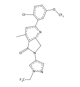 Cc1cc(-c2cc(OC(F)(F)F)ccc2Cl)nc2c1C(=O)N(c1cnn(CC(F)(F)F)c1)C2